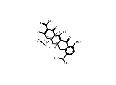 COc1ccc(N(C)C)c2c1C(=O)C1=C(O)[C@]3(Cl)C(=O)C(C(N)=O)=C(Cl)[C@@H](N(C)C)[C@@H]3C[C@@H]1C2